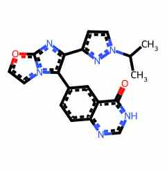 CC(C)n1ccc(-c2nc3occn3c2-c2ccc3nc[nH]c(=O)c3c2)n1